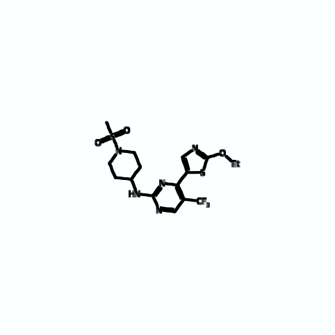 CCOc1ncc(-c2nc(NC3CCN(S(C)(=O)=O)CC3)ncc2C(F)(F)F)s1